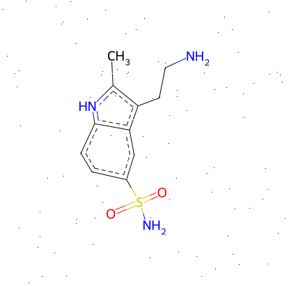 Cc1[nH]c2ccc(S(N)(=O)=O)cc2c1CCN